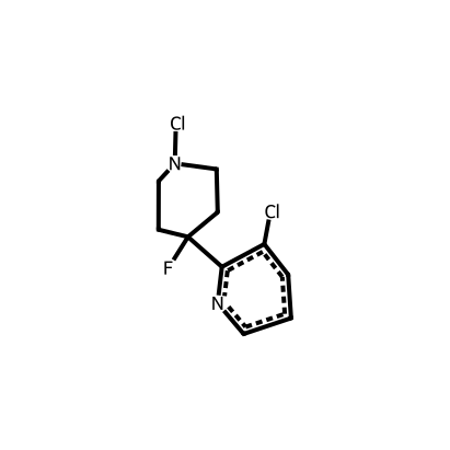 FC1(c2ncccc2Cl)CCN(Cl)CC1